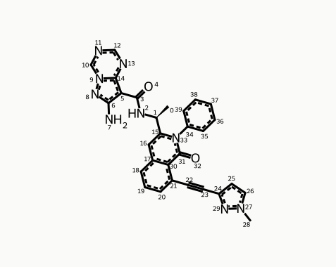 C[C@H](NC(=O)c1c(N)nn2cncnc12)c1cc2cccc(C#Cc3ccn(C)n3)c2c(=O)n1-c1ccccc1